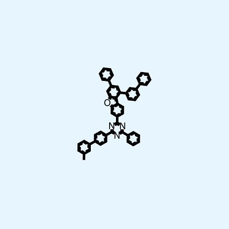 Cc1cccc(-c2ccc(-c3nc(-c4ccccc4)nc(-c4ccc5c(c4)oc4cc(-c6ccccc6)cc(-c6cccc(-c7ccccc7)c6)c45)n3)cc2)c1